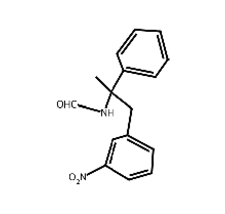 CC(Cc1cccc([N+](=O)[O-])c1)(NC=O)c1ccccc1